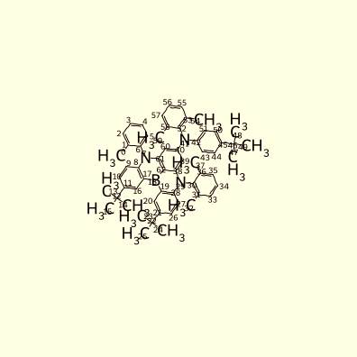 Cc1ccccc1N1c2ccc(C(C)(C)C)cc2B2c3cc(C(C)(C)C)ccc3N(c3c(C)cccc3C)c3cc(N(c4ccc(C(C)(C)C)cc4)c4c(C)cccc4C)cc1c32